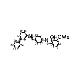 COc1cccc(CNc2ccc(SNc3cccc(-c4ccccc4)c3)cc2)c1O